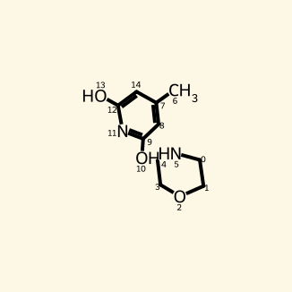 C1COCCN1.Cc1cc(O)nc(O)c1